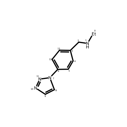 CCNCc1ccc(-n2ccnn2)cc1